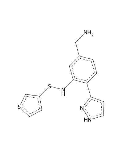 NCc1ccc(-c2cc[nH]n2)c(NSc2ccsc2)c1